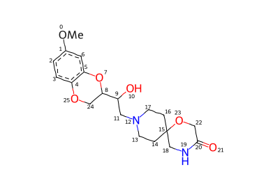 COc1ccc2c(c1)OC(C(O)CN1CCC3(CC1)CNC(=O)CO3)CO2